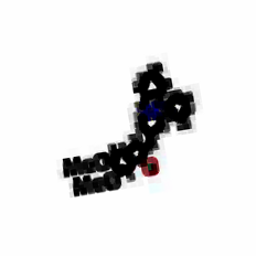 COc1cc2c(cc1OC)C(=O)C(CC1CC[N+](Cc3ccccc3)(Cc3ccccc3)CC1)C2